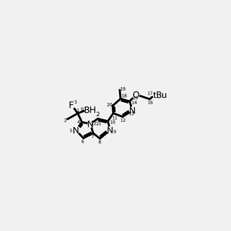 BC(C)(F)c1ncc2cnc(-c3cnc(OCC(C)(C)C)c(C)c3)cn12